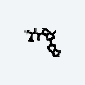 Cc1cc(-c2ccc3cnoc3c2)nc2c(C(=O)NC(C3CC3)C(F)(F)F)ncn12